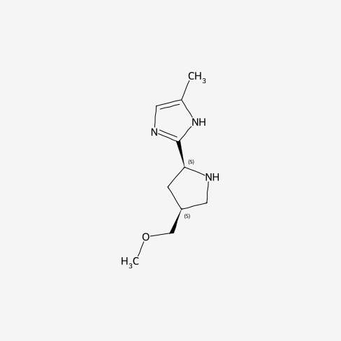 COC[C@@H]1CN[C@H](c2ncc(C)[nH]2)C1